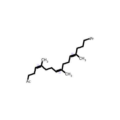 CC(=O)CC/C=C(/C)CC/C=C(/C)CC/C=C(\C)CCCC(C)C